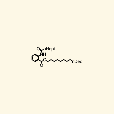 CCCCCCCCCCCCCCCCCCOC(=O)c1ccccc1NC(=O)CCCCCCC